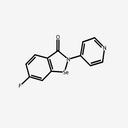 O=c1c2ccc(F)cc2[se]n1-c1ccncc1